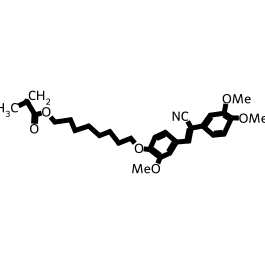 C=C(C)C(=O)OCCCCCCCCOc1ccc(/C=C(\C#N)c2ccc(OC)c(OC)c2)cc1OC